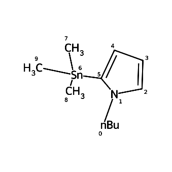 CCCCn1ccc[c]1[Sn]([CH3])([CH3])[CH3]